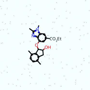 CCOC(=O)c1cc(OC2c3c(C)ccc(C)c3CC2O)c2nc(C)n(C)c2c1